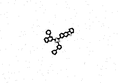 c1ccc(-c2cccc(-c3nc(-c4ccc5cc6c(cc5c4)oc4ccccc46)nc(-c4cc(-c5ccccc5)c5ccccc5c4)n3)c2)cc1